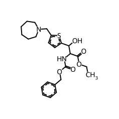 CCOC(=O)C(NC(=O)OCc1ccccc1)C(O)c1ccc(CN2CCCCCC2)s1